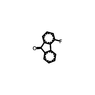 O=C1c2ccccc2-c2c(F)cccc21